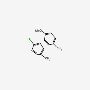 [CH2]c1ccc(Cl)cc1.[CH2]c1ccc(OC)cc1